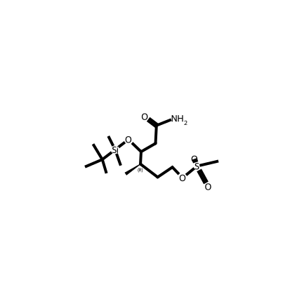 C[C@H](CCOS(C)(=O)=O)C(CC(N)=O)O[Si](C)(C)C(C)(C)C